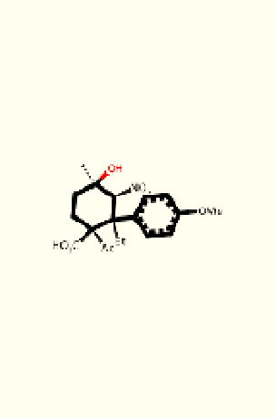 CC[C@]1(c2ccc(OC)cc2)[C@H]([N+](=O)[O-])[C@](C)(O)CC[C@@]1(C(C)=O)C(=O)O